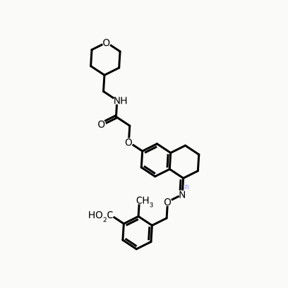 Cc1c(CO/N=C2/CCCc3cc(OCC(=O)NCC4CCOCC4)ccc32)cccc1C(=O)O